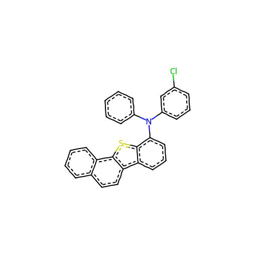 Clc1cccc(N(c2ccccc2)c2cccc3c2sc2c4ccccc4ccc32)c1